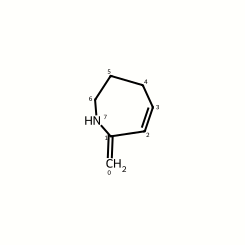 C=C1C=CCCCN1